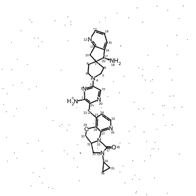 Nc1nc(N2CCC3(CC2)Cc2ncccc2[C@H]3N)cnc1Sc1ccnc2c1OCC1CN(C3CC3)C(=O)N21